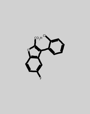 O=C(O)c1oc2ccc(F)cc2c1-c1ccccc1Cl